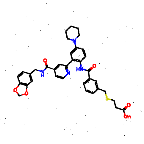 O=C(O)CCSCc1cccc(C(=O)Nc2ccc(N3CCCCC3)cc2-c2cc(C(=O)NCc3ccc4c(c3)OCO4)ccn2)c1